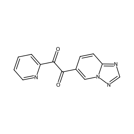 O=C(C(=O)c1ccccn1)c1ccc2ncnn2c1